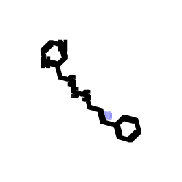 C(=C\c1ccccc1)/CSSSCc1cnccn1